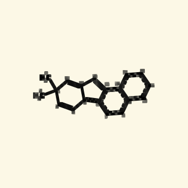 CC1(C)C=CC2=c3ccc4[c]cccc4c3=CC2=C1